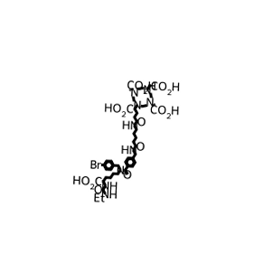 CCNC(=O)NC(CCCCN(Cc1ccc(Br)cc1)C(=O)c1ccc(CNC(=O)CCCCNC(=O)CCC(C(=O)O)N2CCN(CC(=O)O)CCN(CC(=O)O)CCN(CC(=O)O)CC2)cc1)C(=O)O